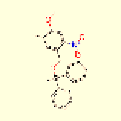 COc1cc([N+](=O)[O-])c(CO[Si](C)(c2ccccc2)c2ccccc2)cc1C